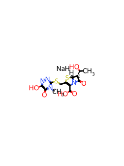 CC(O)[C@H]1C(=O)N2C(C(=O)O)=C(CSc3nnc(O)c(=O)n3C)S[C@H]12.[NaH]